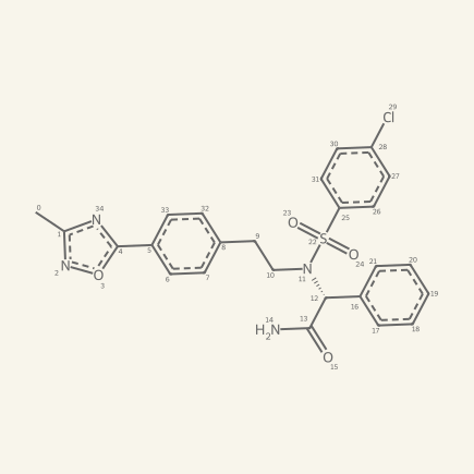 Cc1noc(-c2ccc(CCN([C@@H](C(N)=O)c3ccccc3)S(=O)(=O)c3ccc(Cl)cc3)cc2)n1